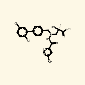 C[C@@](O)(CN(Cc1ccc(-c2cc(Cl)ccc2Cl)cc1)NC(=O)c1cc(O)no1)C(=O)O